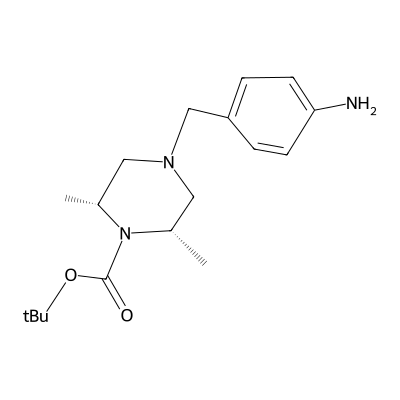 C[C@@H]1CN(Cc2ccc(N)cc2)C[C@H](C)N1C(=O)OC(C)(C)C